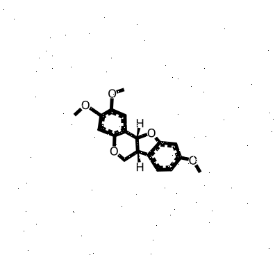 COc1ccc2c(c1)O[C@H]1c3cc(OC)c(OC)cc3OC[C@@H]21